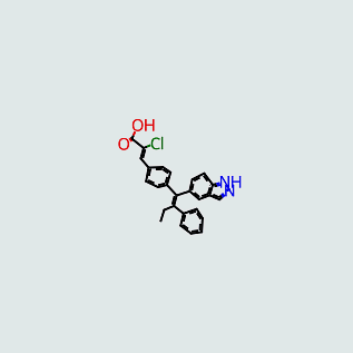 CCC(=C(c1ccc(C=C(Cl)C(=O)O)cc1)c1ccc2[nH]ncc2c1)c1ccccc1